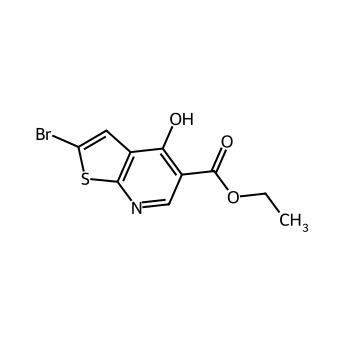 CCOC(=O)c1cnc2sc(Br)cc2c1O